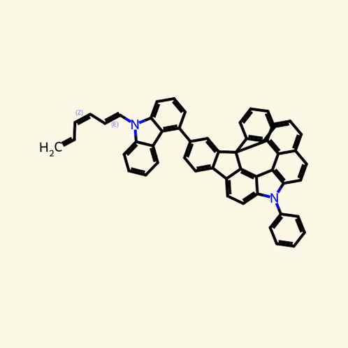 C=C/C=C\C=C\n1c2ccccc2c2c(-c3ccc4c(c3)C3(c5ccccc5)c5cccc6ccc7c(c56)c5c3c-4ccc5n7-c3ccccc3)cccc21